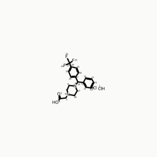 Cl.Cl.O=C(O)CN1CCN(C(c2ccccc2)c2ccc(C(F)(F)F)cc2)CC1